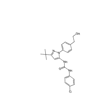 CC(C)(C)c1cc(NC(=O)Nc2ccc(Cl)cc2)n(-c2ccc(CCO)cc2)n1